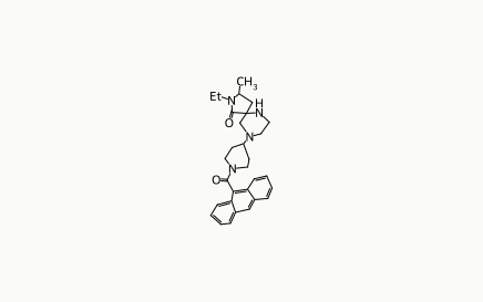 CCN1C(=O)C2(CC1C)CN(C1CCN(C(=O)c3c4ccccc4cc4ccccc34)CC1)CCN2